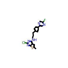 Cc1cc2c(NCCCc3ccc(-c4cnc(F)cn4)cc3)nc(Cl)nc2s1